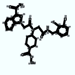 CC(C)(C)OC(=O)N1CCC(N(CC(=O)NCc2cccc(Cl)c2F)C(=O)Cn2nc(C(N)=O)c3ccccc32)CC1